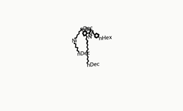 CCCCCCCCCCCCCCCCCCCCC=CCCc1ccccc1C1=C(CCCC)C=C(c2ccc(CCCCCC)cc2)[N+]1=[N-].CCCCCCCCCCCCCCC[CH2][Ni][CH2]CCCCCCCCCCCCCCC